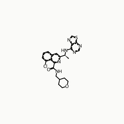 C[C@H](Nc1ncnc2scnc12)c1cc2cccc(Cl)c2c(C(=O)NCC2CCOCC2)n1